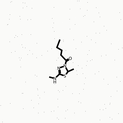 CCCCC(=O)N1N=C(NC)SC1C